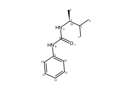 CC(C)[C@H](C)NC(=O)Nc1ccccc1